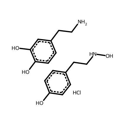 Cl.NCCc1ccc(O)c(O)c1.ONCCc1ccc(O)cc1